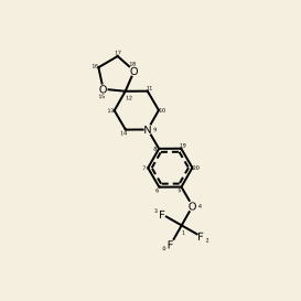 FC(F)(F)Oc1ccc(N2CCC3(CC2)OCCO3)cc1